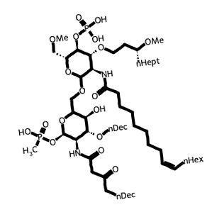 CCCCCC/C=C\CCCCCCCC(=O)N[C@H]1C(OCC2O[C@H](OP(C)(=O)O)[C@H](NC(=O)CC(=O)CCCCCCCCCCC)[C@@H](OCCCCCCCCCC)[C@@H]2O)O[C@H](COC)[C@@H](OP(=O)(O)O)[C@@H]1OCC[C@@H](CCCCCCC)OC